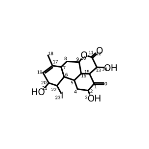 C=C1C(O)CC2C3C(CC4OC(=O)C(O)C1C42)C(C)=CC(O)C3I